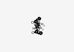 CCC(NC(=O)c1cc(Cl)cc2cc3ccccc3nc12)C(N)C(CC)NC(=O)c1cc(Cl)cc2cc3ccccc3nc12